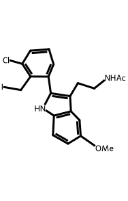 COc1ccc2[nH]c(-c3cccc(Cl)c3CI)c(CCNC(C)=O)c2c1